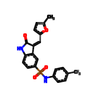 Cc1ccc(C=C2C(=O)Nc3ccc(S(=O)(=O)Nc4ccc(C(F)(F)F)cc4)cc32)o1